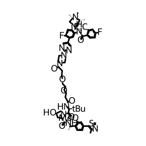 COc1cc(-c2scnc2C)ccc1[C@H](C)NC(=O)[C@@H]1C[C@@H](O)CN1C(=O)[C@@H](NC(=O)CCOCCOCCC(=O)N1CCN(c2ncc(-c3cc(NC(=O)c4ccc(F)cc4C(F)(F)F)c(N4C[C@@H](C)N(C)[C@@H](C)C4)cc3F)cn2)CC1)C(C)(C)C